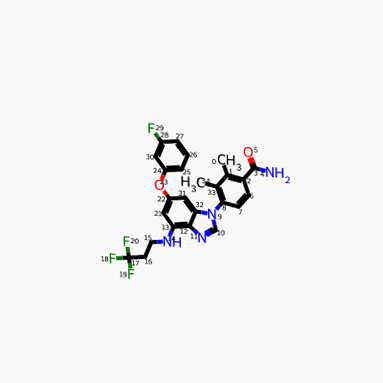 Cc1c(C(N)=O)ccc(-n2cnc3c(NCCC(F)(F)F)cc(Oc4cccc(F)c4)cc32)c1C